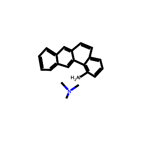 CN(C)C.[AlH2][c]1cccc2ccc3cc4ccccc4cc3c12